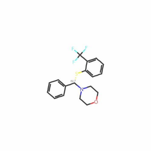 FC(F)(F)c1ccccc1S[C@@H](c1ccccc1)N1CCOCC1